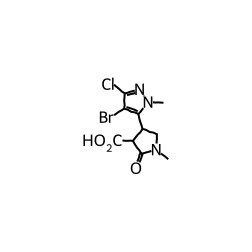 CN1CC(c2c(Br)c(Cl)nn2C)C(C(=O)O)C1=O